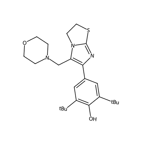 CC(C)(C)c1cc(-c2nc3n(c2CN2CCOCC2)CCS3)cc(C(C)(C)C)c1O